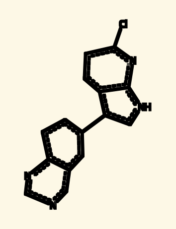 Clc1ccc2c(-c3ccc4ncncc4c3)c[nH]c2n1